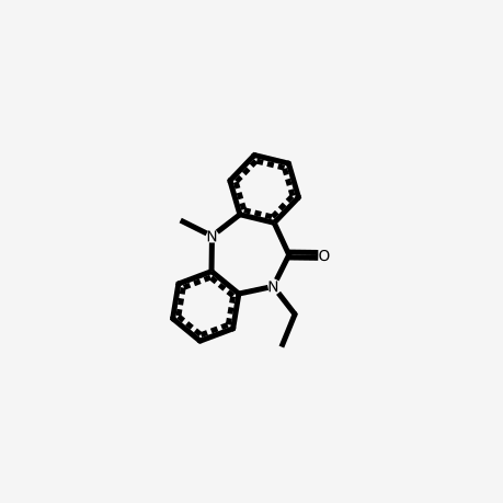 CCN1C(=O)c2ccccc2N(C)c2ccccc21